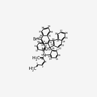 C=C/C=C\C(=C)N(c1ccccc1)c1ccccc1C1(O)c2ccc3ccccc3c2-c2c1cc(Br)c1ccccc21